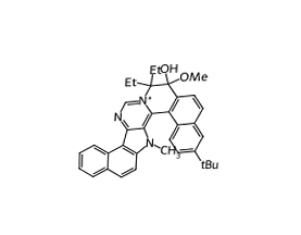 CCC1(CC)[n+]2cnc3c4c5ccccc5ccc4n(C)c3c2-c2c(ccc3cc(C(C)(C)C)ccc23)C1(O)OC